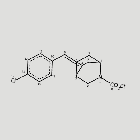 CCOC(=O)N1CC2CCC1C/C2=C/c1ccc(Cl)cc1